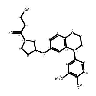 COc1cc(N2CCOc3ccc(OC4CCN(C(=O)CCSC)C4)cc32)cnc1OC